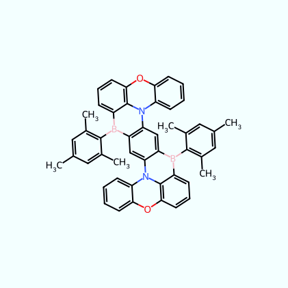 Cc1cc(C)c(B2c3cc4c(cc3N3c5ccccc5Oc5cccc2c53)B(c2c(C)cc(C)cc2C)c2cccc3c2N4c2ccccc2O3)c(C)c1